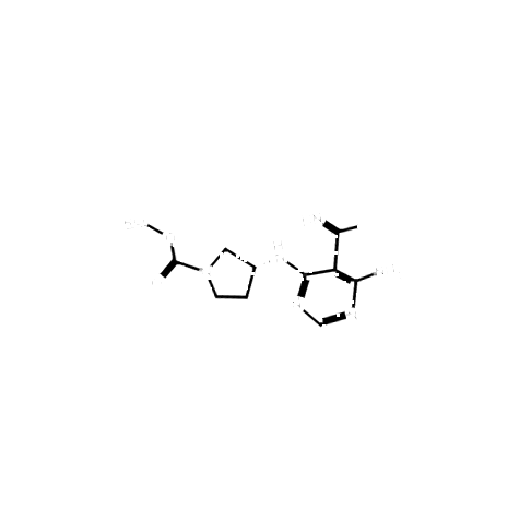 CC(=N)c1c(N)ncnc1N[C@@H]1CCN(C(=O)OC(C)(C)C)C1